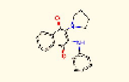 O=C1C(Nc2ccccc2)=C(N2CCCC2)C(=O)c2ccccc21